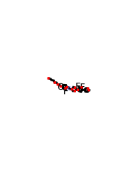 CCCCCCCCOc1ccc(/C=C/C2CCC(c3ccc(-c4ccc(C)cc4)c(F)c3F)CC2)c(F)c1